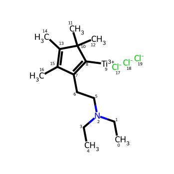 CCN(CC)CCC1=[C]([Ti+3])C(C)(C)C(C)=C1C.[Cl-].[Cl-].[Cl-]